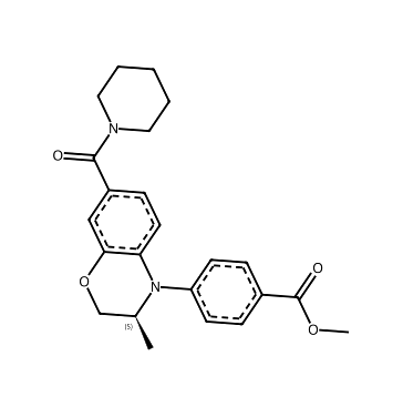 COC(=O)c1ccc(N2c3ccc(C(=O)N4CCCCC4)cc3OC[C@@H]2C)cc1